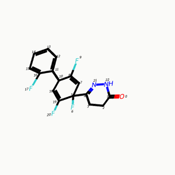 O=C1CCC(C2(F)C=C(F)C(c3ccccc3F)C=C2F)=NN1